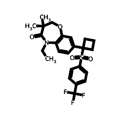 CCN1C(=O)C(C)(C)COc2cc(C3(S(=O)(=O)c4ccc(C(F)(F)F)cc4)CCC3)ccc21